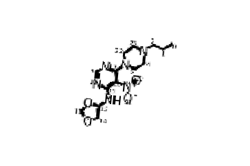 CCCN1CCN(c2ncnc(NC3=COCO3)c2[N+](=O)[O-])CC1